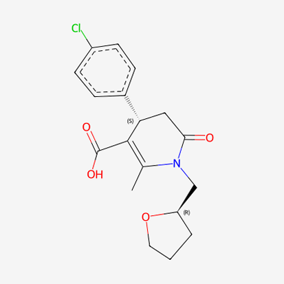 CC1=C(C(=O)O)[C@H](c2ccc(Cl)cc2)CC(=O)N1C[C@H]1CCCO1